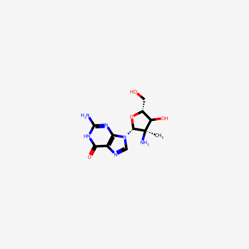 C[C@@]1(N)C(O)[C@@H](CO)O[C@H]1n1cnc2c(=O)[nH]c(N)nc21